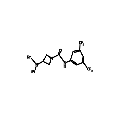 CC(C)N(C(C)C)C1CN(C(=O)Nc2cc(C(F)(F)F)cc(C(F)(F)F)c2)C1